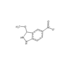 COC1NNc2ccc([N+](=O)[O-])cc21